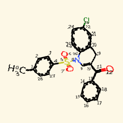 Cc1ccc(S(=O)(=O)N2C=C(C(=O)c3ccccc3)Cc3cc(Cl)ccc32)cc1